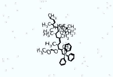 C=C/C=C\C(C)[C@H](C)[C@@H](C)[C@H](O[Si](C)(C)C(C)(C)C)[C@@H](C)C/C(C)=C\[C@H](C)[C@@H](OCOC)C(C)C[PH](c1ccccc1)(c1ccccc1)c1ccccc1